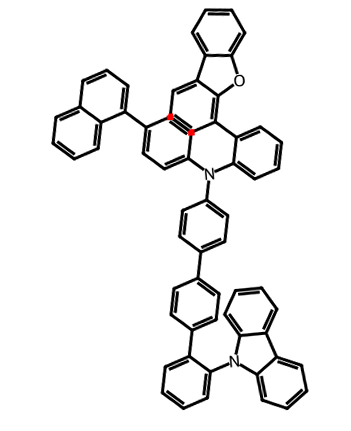 c1ccc(N(c2ccc(-c3ccc(-c4ccccc4-n4c5ccccc5c5ccccc54)cc3)cc2)c2ccc(-c3cccc4ccccc34)cc2)c(-c2cccc3c2oc2ccccc23)c1